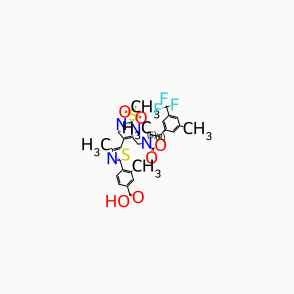 Cc1cc([C@H]2OC(=O)N(Cc3nc(S(C)(=O)=O)ncc3-c3sc(-c4ccc(C(=O)O)cc4C)nc3C)[C@H]2C)cc(C(F)(F)F)c1